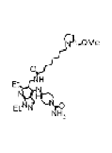 CCc1nc2c(cnn2CC)c(NC2CCN(C(N)=O)CC2)c1CNC(=O)CCCCCCCN1CCC[C@@H]1COC